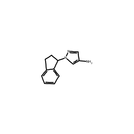 Nc1cnn(C2CCc3ccccc32)c1